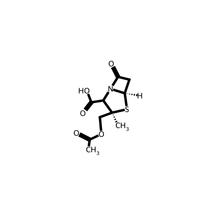 CC(=O)OC[C@]1(C)S[C@@H]2CC(=O)N2C1C(=O)O